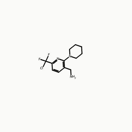 NCc1ccc(C(F)(F)Cl)nc1N1CCCCC1